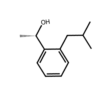 CC(C)Cc1ccccc1[C@H](C)O